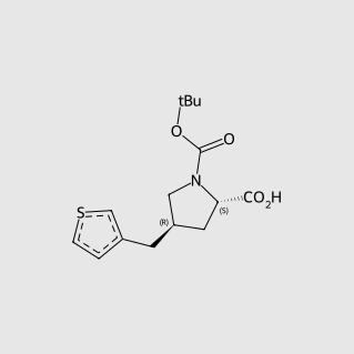 CC(C)(C)OC(=O)N1C[C@H](Cc2ccsc2)C[C@H]1C(=O)O